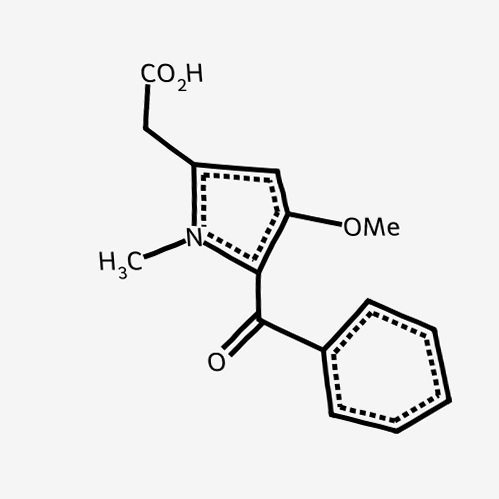 COc1cc(CC(=O)O)n(C)c1C(=O)c1ccccc1